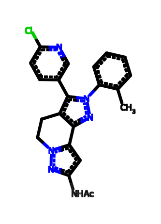 CC(=O)Nc1cc2n(n1)CCc1c-2nn(-c2ccccc2C)c1-c1ccc(Cl)nc1